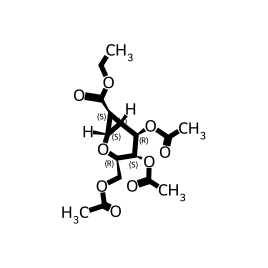 CCOC(=O)[C@@H]1[C@H]2O[C@H](COC(C)=O)[C@@H](OC(C)=O)[C@H](OC(C)=O)[C@H]21